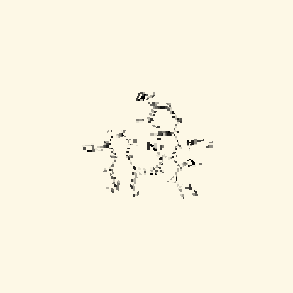 COC(=O)c1c(N)c2ccc(Br)cc2n(-c2ccc(Cl)c3cnccc23)c1=O